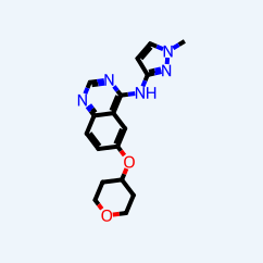 Cn1ccc(Nc2ncnc3ccc(OC4CCOCC4)cc23)n1